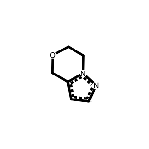 [c]1cc2n(n1)CCOC2